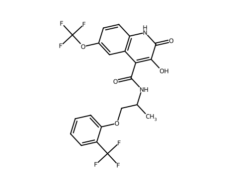 CC(COc1ccccc1C(F)(F)F)NC(=O)c1c(O)c(=O)[nH]c2ccc(OC(F)(F)F)cc12